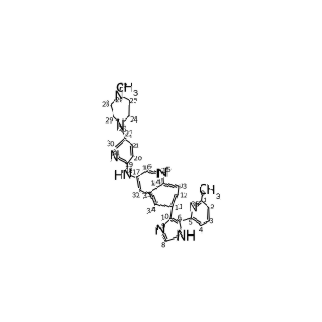 Cc1cccc(-c2[nH]cnc2-c2ccc3ncc(Nc4ccc(N5CCN(C)CC5)cn4)cc3c2)n1